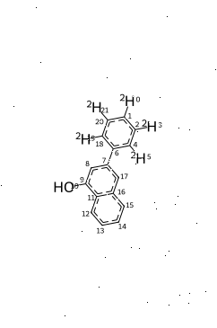 [2H]c1c([2H])c([2H])c(-c2cc(O)c3ccccc3c2)c([2H])c1[2H]